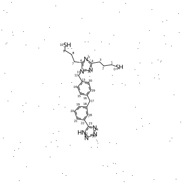 SCCCc1nc(CCCS)n(Cc2ccc(Cc3cccc(-c4nnn[nH]4)c3)cc2)n1